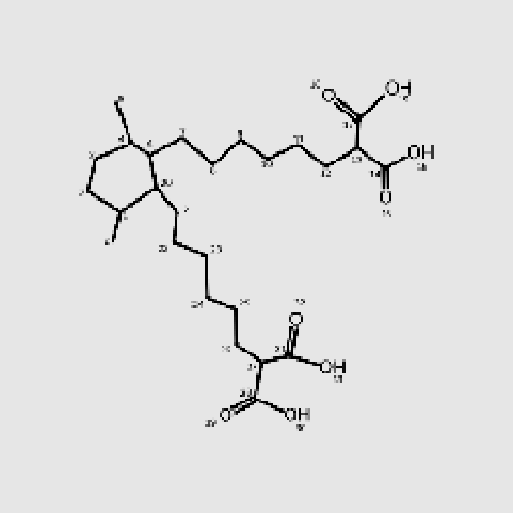 CC1CCC(C)C(CCCCCCC(C(=O)O)C(=O)O)C1CCCCCCC(C(=O)O)C(=O)O